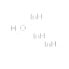 O.[InH3].[InH3].[InH3]